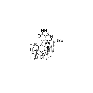 BC1C(Nc2nc(NC(C)(C)C)ncc2C(N)=O)C(B)(B)C(B)(B)C(B)(C(B)(B)B)C1(B)O